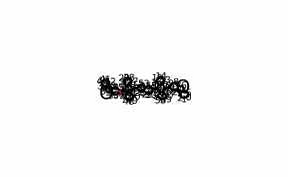 c1ccc2c(c1)oc1ccc(-c3c4ccccc4c(-c4ccc5cc(-c6c7ccccc7c(-c7ccc8oc9ccccc9c8c7)c7ccccc67)ccc5c4)c4ccccc34)cc12